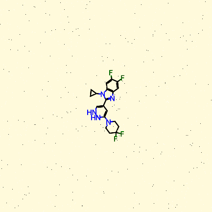 Fc1cc2nc(C3=CNNC(N4CCC(F)(F)CC4)=C3)n(C3CC3)c2cc1F